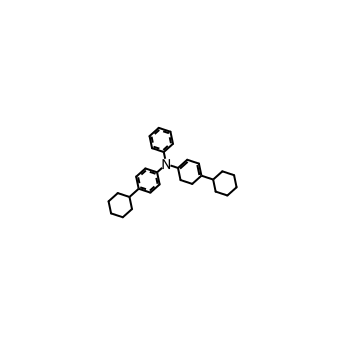 C1=C(C2CCCCC2)CCC(N(c2ccccc2)c2ccc(C3CCCCC3)cc2)=C1